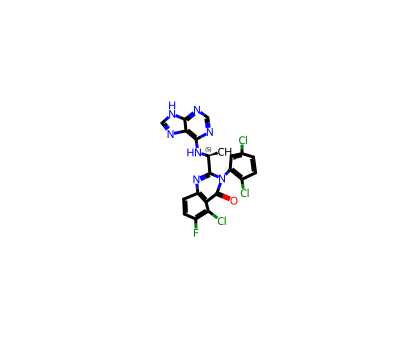 C[C@H](Nc1ncnc2[nH]cnc12)c1nc2ccc(F)c(Cl)c2c(=O)n1-c1cc(Cl)ccc1Cl